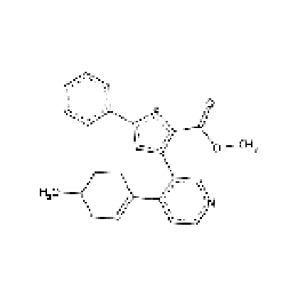 COC(=O)c1sc(-c2ccccc2)cc1-c1cnccc1C1=CCC(C)CC1